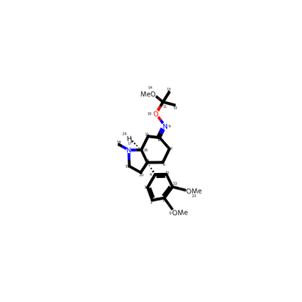 COc1ccc([C@@]23CC/C(=N/OC(C)(C)OC)C[C@@H]2N(C)CC3)cc1OC